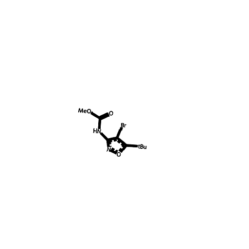 COC(=O)Nc1noc(C(C)(C)C)c1Br